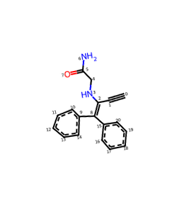 C#CC(NCC(N)=O)=C(c1ccccc1)c1ccccc1